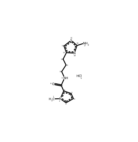 Cl.Cn1cccc1C(=O)NCCCc1csc(N)n1